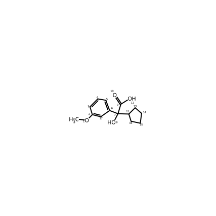 COc1cccc(C(O)(C(=O)O)C2CCCC2)c1